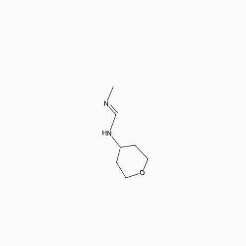 C/N=C/NC1CCOCC1